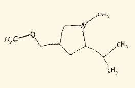 COCC1CC(C(C)C)N(C)C1